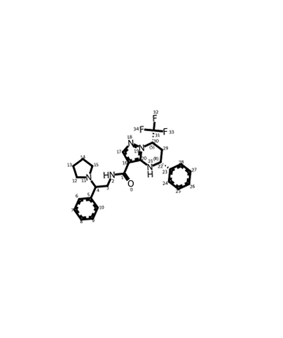 O=C(NCC(c1ccccc1)N1CCCC1)c1cnn2c1N[C@@H](c1ccccc1)C[C@H]2C(F)(F)F